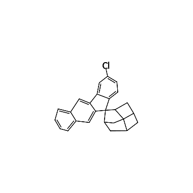 Clc1ccc2c(c1)-c1cc3ccccc3cc1C21C2CC3CC4CC1C34C2